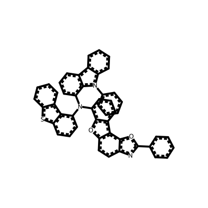 c1ccc(-c2nc3ccc4oc5c(N(c6cccc7sc8ccccc8c67)c6cccc7c8ccccc8n(-c8ccccc8)c67)cccc5c4c3o2)cc1